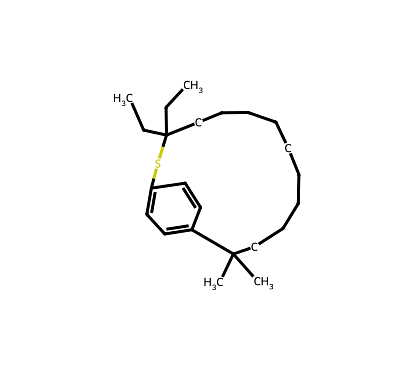 CCC1(CC)CCCCCCCCCC(C)(C)c2ccc(cc2)S1